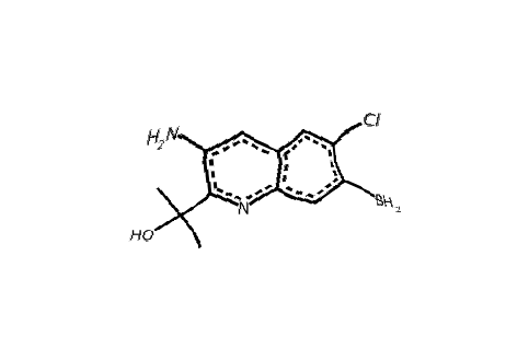 Bc1cc2nc(C(C)(C)O)c(N)cc2cc1Cl